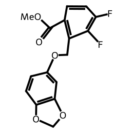 COC(=O)c1ccc(F)c(F)c1COc1ccc2c(c1)OCO2